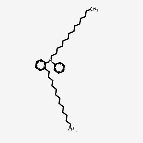 CCCCCCCCCCCCCCc1ccccc1N(CCCCCCCCCCCCCC)c1ccccc1